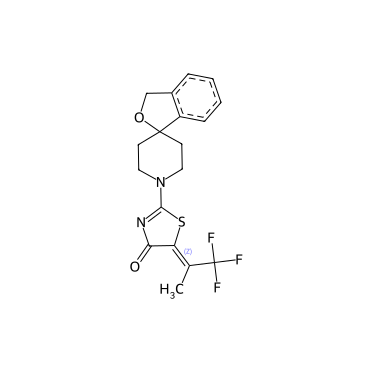 C/C(=C1/SC(N2CCC3(CC2)OCc2ccccc23)=NC1=O)C(F)(F)F